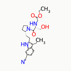 CCOC(=O)CN[C@H](CO)C(=O)N1CCC[C@H]1CCc1[nH]c2cc(C#N)ccc2c1CC